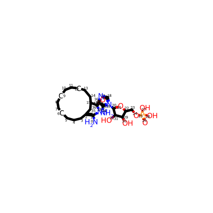 NC1=C2CCCCCCCCCCCC[C@](c3ncn(C4OC(COP(=O)(O)O)C(O)C4O)c3N)(C2)C(=O)N1